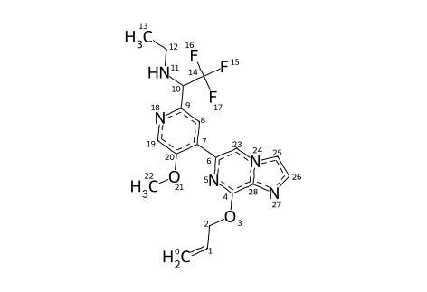 C=CCOc1nc(-c2cc(C(NCC)C(F)(F)F)ncc2OC)cn2ccnc12